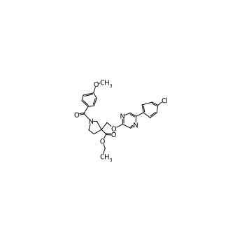 CCOC(=O)C1(COc2cnc(-c3ccc(Cl)cc3)cn2)CCN(C(=O)c2ccc(OC)cc2)C1